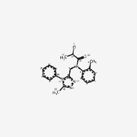 Cc1ccccc1N(Cc1nnc(C)n1-c1ccccc1)C(=O)C(C)Cl